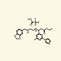 CCOC(=O)CC(NCCNCc1ccc2c(c1)OCO2)c1cc(C)nc(-n2ccnc2)n1.O=C(O)C(F)(F)F